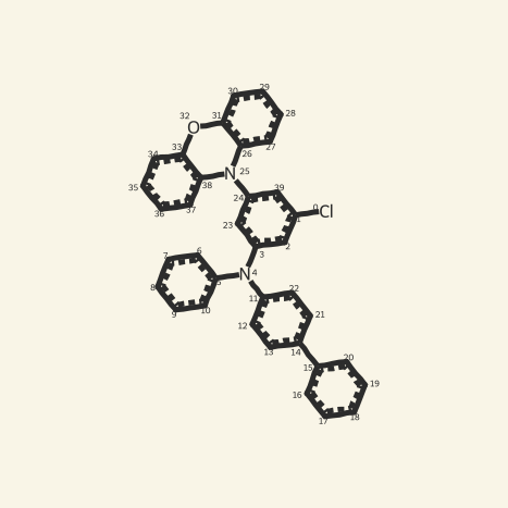 Clc1cc(N(c2ccccc2)c2ccc(-c3ccccc3)cc2)cc(N2c3ccccc3Oc3ccccc32)c1